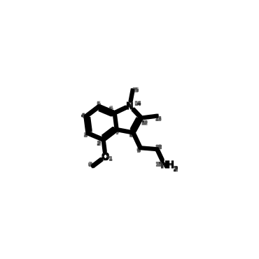 COc1cccc2c1c(CCN)c(C)n2C